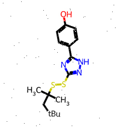 CC(C)(C)CC(C)(C)SSc1n[nH]c(-c2ccc(O)cc2)n1